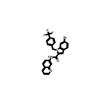 O=C(Nc1ccc2cccnc2c1)c1cc2ccc(Br)cc2n1Cc1ccc(C(F)(F)F)cc1